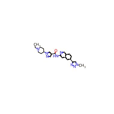 CCN1CCC(n2cc(C(=O)Nc3cc4cc(-c5cn(C)nn5)ccc4cn3)cn2)CC1